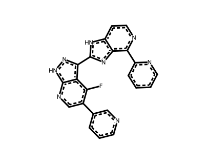 Fc1c(-c2cccnc2)cnc2[nH]nc(-c3nc4c(-c5ccccn5)nccc4[nH]3)c12